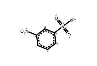 C[CH]CS(=O)(=O)c1cccc([N+](=O)[O-])c1